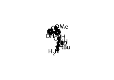 COC(=O)c1ccc(NC(=O)C(CCCCN)NC(=O)OC(C)(C)C)cc1-c1cccc(O)c1